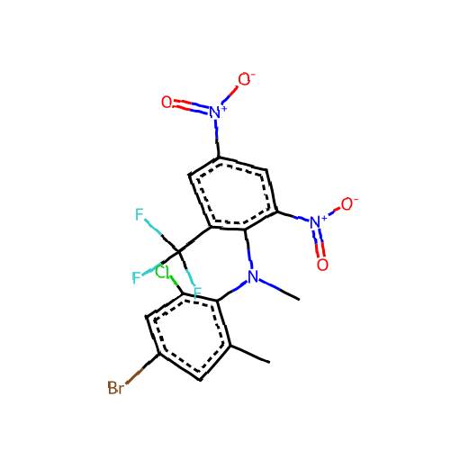 Cc1cc(Br)cc(Cl)c1N(C)c1c([N+](=O)[O-])cc([N+](=O)[O-])cc1C(F)(F)F